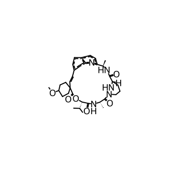 COC1CCC2(/C=C/c3ccc4ccc(nc4c3)[C@@H](C)NC(=O)[C@@H]3CCCN(N3)C(=O)[C@H](C)NC(=O)[C@H](C(C)C)OC2=O)CC1